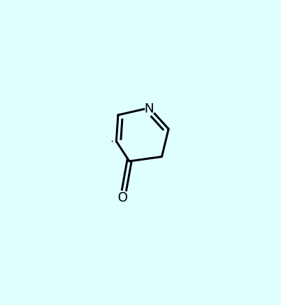 O=C1[C]=CN=CC1